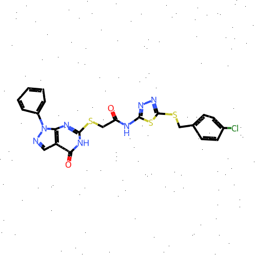 O=C(CSc1nc2c(cnn2-c2ccccc2)c(=O)[nH]1)Nc1nnc(SCc2ccc(Cl)cc2)s1